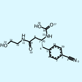 N#Cc1ccc(C[C@H](CC(=O)NCCO)NC(=O)O)cc1